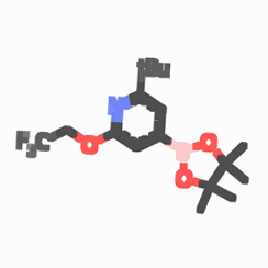 CC(C)(C)c1cc(B2OC(C)(C)C(C)(C)O2)cc(OCC(F)(F)F)n1